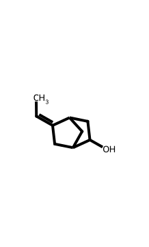 CC=C1CC2CC1CC2O